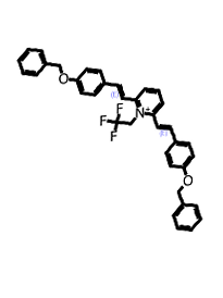 FC(F)(F)C[n+]1c(/C=C/c2ccc(OCc3ccccc3)cc2)cccc1/C=C/c1ccc(OCc2ccccc2)cc1